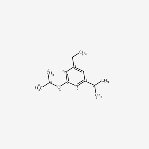 CCc1cc(C(C)C)nc(OC(C)C)n1